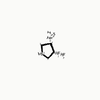 C1CCNC1.F.F.F.S